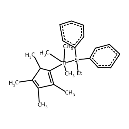 CC[Si](c1ccccc1)(c1ccccc1)[Ti]([CH3])([CH3])([CH3])[C]1=C(C)C(C)=C(C)C1C